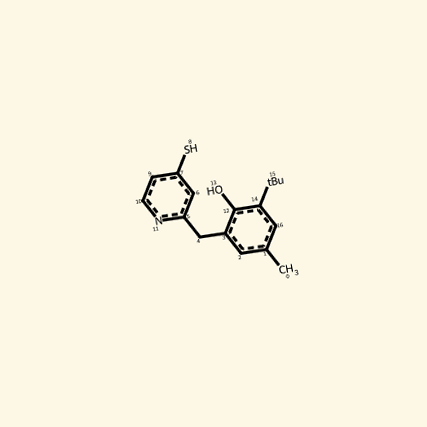 Cc1cc(Cc2cc(S)ccn2)c(O)c(C(C)(C)C)c1